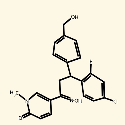 Cn1cc(/C(CC(c2ccc(CO)cc2)c2ccc(Cl)cc2F)=N/O)ccc1=O